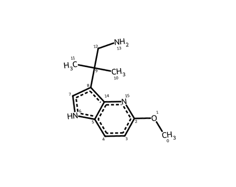 COc1ccc2[nH]cc(C(C)(C)CN)c2n1